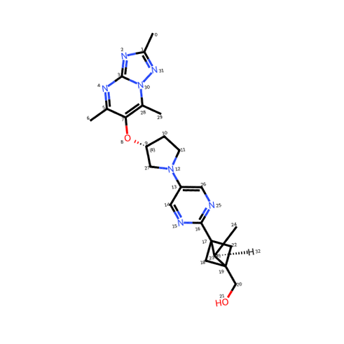 Cc1nc2nc(C)c(O[C@@H]3CCN(c4cnc(C56CC(CO)(C5)[C@@H]6C)nc4)C3)c(C)n2n1